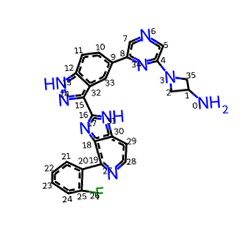 NC1CN(c2cncc(-c3ccc4[nH]nc(-c5nc6c(-c7ccccc7F)nccc6[nH]5)c4c3)n2)C1